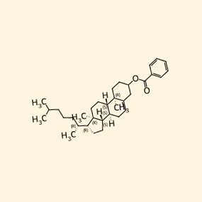 CC(C)CCC[C@@H](C)[C@H]1CC[C@H]2[C@@H]3CC=C4CC(OC(=O)c5ccccc5)CC[C@]4(C)[C@H]3CC[C@]12C